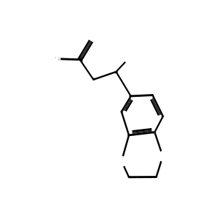 CC(CC(N)=O)c1ccc2c(c1)OCCO2